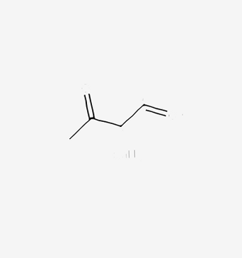 CC(=O)CC=O.[GaH3]